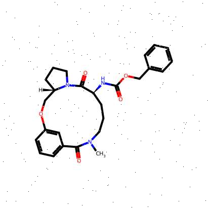 CN1CCC[C@H](NC(=O)OCc2ccccc2)C(=O)N2CCC[C@H]2COc2cccc(c2)C1=O